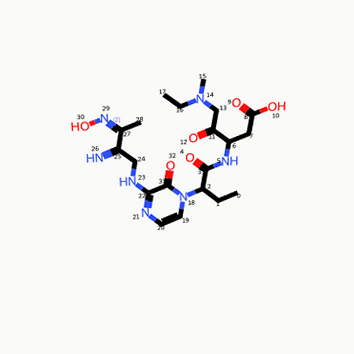 CCC(C(=O)NC(CC(=O)O)C(=O)CN(C)CC)n1ccnc(NCC(=N)/C(C)=N\O)c1=O